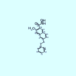 Cc1nc2cc(CCc3ccccn3)ccc2cc1C(=O)NO